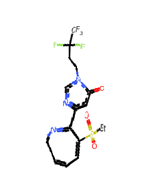 CCS(=O)(=O)C1=CC=CCN=C1c1cc(=O)n(CCC(F)(F)C(F)(F)F)cn1